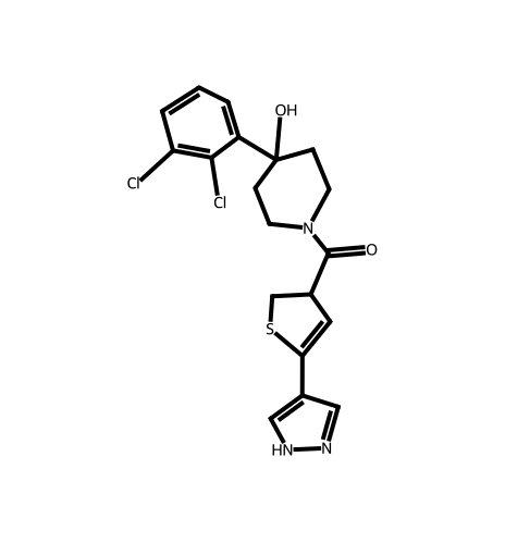 O=C(C1C=C(c2cn[nH]c2)SC1)N1CCC(O)(c2cccc(Cl)c2Cl)CC1